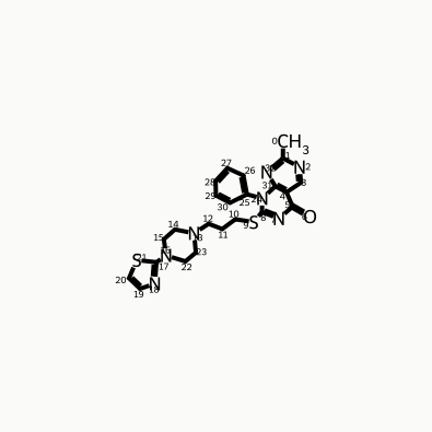 Cc1ncc2c(=O)nc(SCCCN3CCN(c4nccs4)CC3)n(-c3ccccc3)c2n1